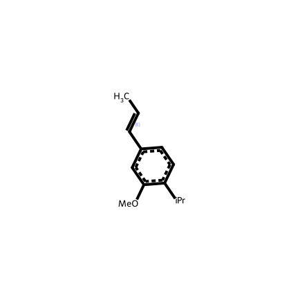 C/C=C/c1ccc(C(C)C)c(OC)c1